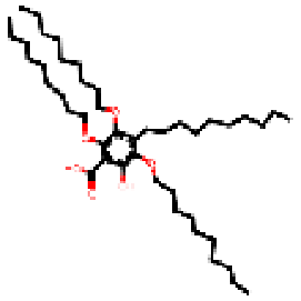 CCCCCCCCCCOc1c(O)c(C(=O)O)c(OCCCCCCCCC)c(OCCCCCCCCC)c1CCCCCCCCCC